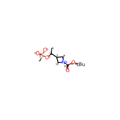 CC(OS(C)(=O)=O)C1CN(C(=O)OC(C)(C)C)C1